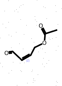 CC(=O)OC/C=C\C=O